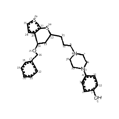 Oc1ccc(N2CCN(CCCC3CC(OCc4ccccc4)c4ccsc4S3)CC2)cc1